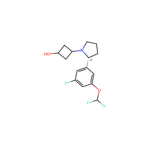 OC1C[C](N2CCC[C@@H]2c2cc(F)cc(OC(F)F)c2)C1